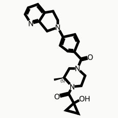 C[C@H]1CN(C(=O)c2ccc(N3CCc4cccnc4C3)cc2)CCN1C(=O)C1(O)CC1